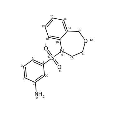 Nc1cccc(S(=O)(=O)N2CCOCc3ccccc32)c1